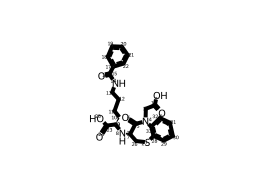 O=C(O)CN1C(=O)[C@@H](N[C@@H](CCCCNC(=O)c2ccccc2)C(=O)O)CSc2ccccc21